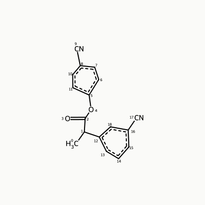 CC(C(=O)Oc1ccc(C#N)cc1)c1cccc(C#N)c1